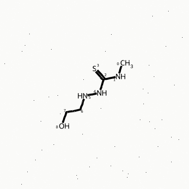 CNC(=S)NNCCO